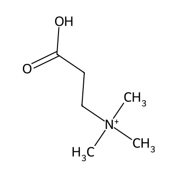 C[N+](C)(C)CCC(=O)O